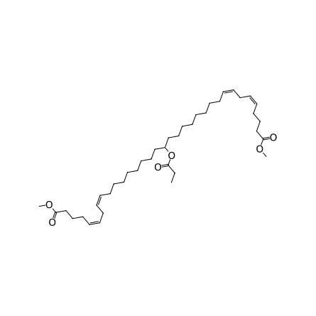 CCC(=O)OC(CCCCCCCC/C=C\C/C=C\CCCC(=O)OC)CCCCCCCC/C=C\C/C=C\CCCC(=O)OC